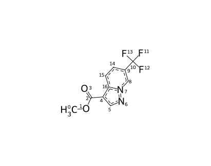 COC(=O)c1cnn2cc(C(F)(F)F)ccc12